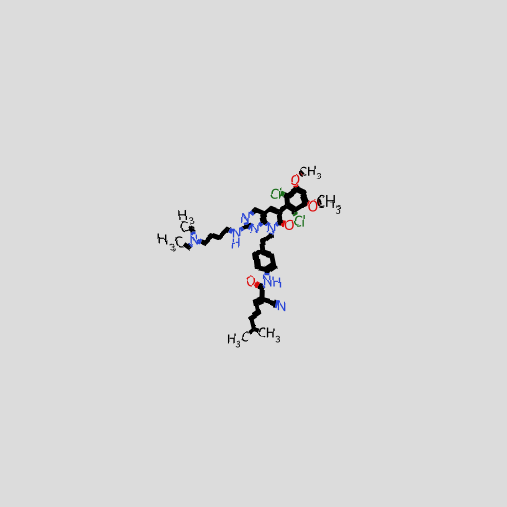 CCN(CC)CCCCNc1ncc2cc(-c3c(Cl)c(OC)cc(OC)c3Cl)c(=O)n(CCc3ccc(NC(=O)/C(C#N)=C/CCC(C)C)cc3)c2n1